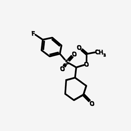 CC(=O)OC(C1CCCC(=O)C1)S(=O)(=O)c1ccc(F)cc1